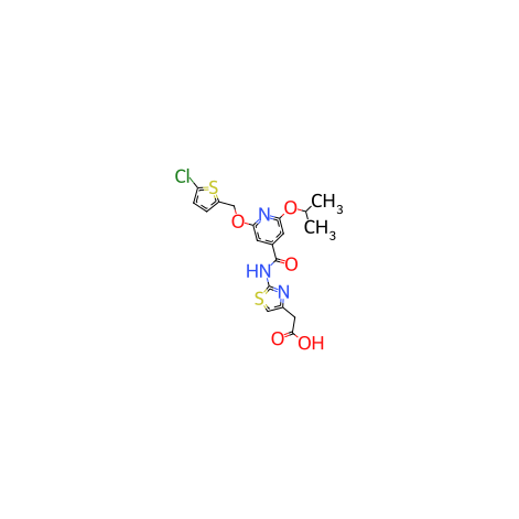 CC(C)Oc1cc(C(=O)Nc2nc(CC(=O)O)cs2)cc(OCc2ccc(Cl)s2)n1